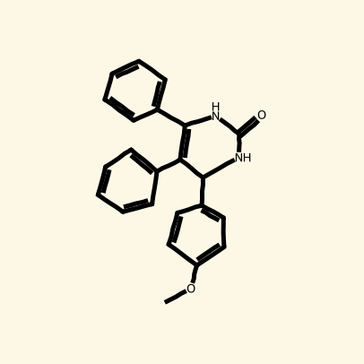 COc1ccc(C2NC(=O)NC(c3ccccc3)=C2c2ccccc2)cc1